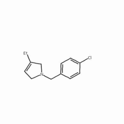 CCC1=CCN(Cc2ccc(Cl)cc2)C1